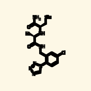 CC[C@H](N[C@H](CC(C)(C)C)C(N)=O)C(=O)NCc1cc(Cl)ccc1-n1cnnn1